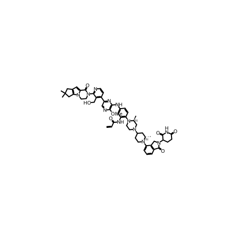 C=CC(=O)Nc1cc(Nc2nc(-c3ccnc(N4CCn5c(cc6c5CC(C)(C)C6)C4=O)c3CO)cnc2OC)ccc1N1CCN(C2CCN(c3cccc4c3CN(C3CCC(=O)NC3=O)C4=O)[C@@H](C)C2)C[C@@H]1C